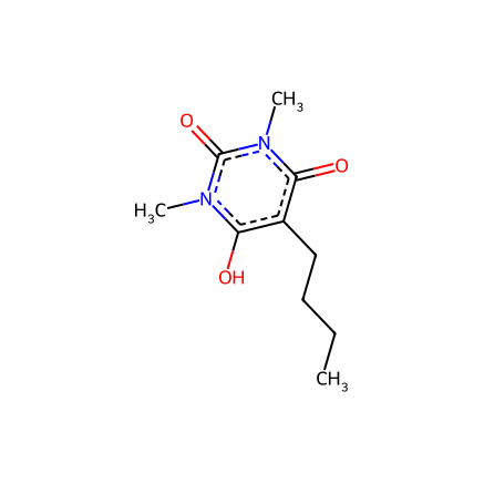 CCCCc1c(O)n(C)c(=O)n(C)c1=O